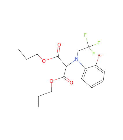 CCCOC(=O)C(C(=O)OCCC)N(CC(F)(F)F)c1ccccc1Br